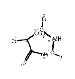 CCCC(=O)C(CC)C(=O)O.CC[O][AlH][O]CC